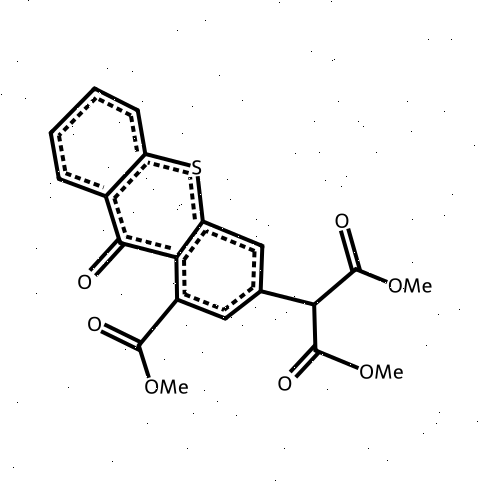 COC(=O)c1cc(C(C(=O)OC)C(=O)OC)cc2sc3ccccc3c(=O)c12